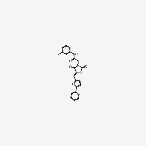 Cc1cccc(NC(=O)CN2C(=O)S/C(=C\c3ccc(-c4ccccc4)o3)C2=O)c1